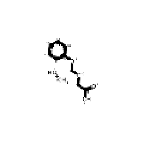 CO.O=C(O)COCOc1ccccc1